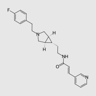 O=C(/C=C/c1cccnc1)NCC[C@@H]1[C@H]2CN(CCc3ccc(F)cc3)C[C@@H]12